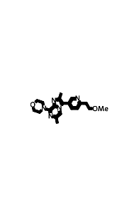 COCCc1ccc(-c2c(C)nc3c(N4CCOCC4)nc(C)cn23)cn1